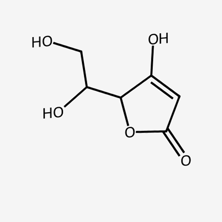 O=C1C=C(O)C(C(O)CO)O1